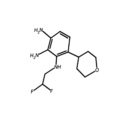 Nc1ccc(C2CCOCC2)c(NCC(F)F)c1N